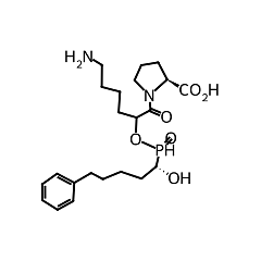 NCCCCC(O[PH](=O)[C@H](O)CCCCc1ccccc1)C(=O)N1CCC[C@H]1C(=O)O